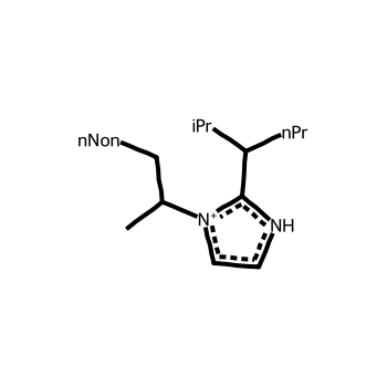 CCCCCCCCCCC(C)[n+]1cc[nH]c1C(CCC)C(C)C